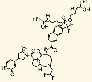 CCCC(O)=[SH]CCOP(=O)(OCC[SH]=C(O)CCC)C(F)(F)c1ccc2ccc(C(=O)N[C@H]3CCN(CC(F)F)C[C@H]4CC[C@@H](C(=O)N5CC(c6cc[nH]c(=O)c6)CC56CC6)N4C3=O)cc2c1